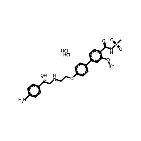 CC(C)Oc1cc(-c2ccc(OCCNC[C@@H](O)c3ccc(N)cc3)cc2)ccc1C(=O)NS(C)(=O)=O.Cl.Cl